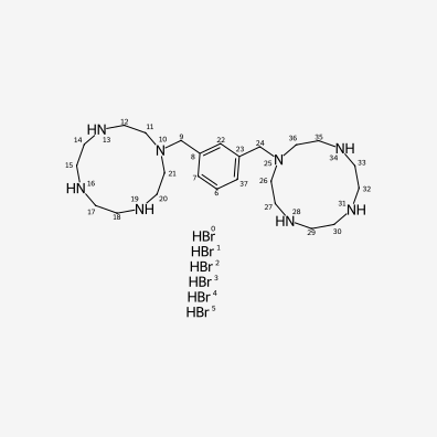 Br.Br.Br.Br.Br.Br.c1cc(CN2CCNCCNCCNCC2)cc(CN2CCNCCNCCNCC2)c1